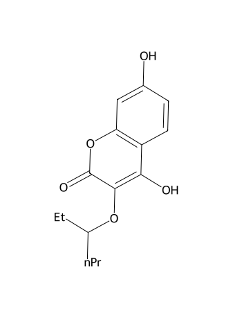 CCCC(CC)Oc1c(O)c2ccc(O)cc2oc1=O